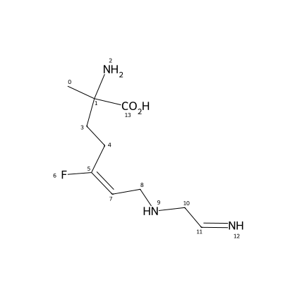 CC(N)(CC/C(F)=C\CNCC=N)C(=O)O